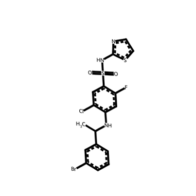 CC(Nc1cc(F)c(S(=O)(=O)Nc2nccs2)cc1Cl)c1cccc(Br)c1